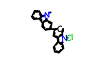 Cn1c2ccccc2c2ccc(-c3ccc4c(c3)c3ccccc3n4Cl)cc21